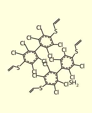 C=CSc1c(Cl)c(Cl)c(-c2c(Cl)c(Cl)c(SC=C)c(Cl)c2Cl)c(Cl)c1Cl.C=CSc1c(Cl)c(Cl)c(-c2c(Cl)c(Cl)c(SC=C)c(Cl)c2Cl)c(Cl)c1Cl.S